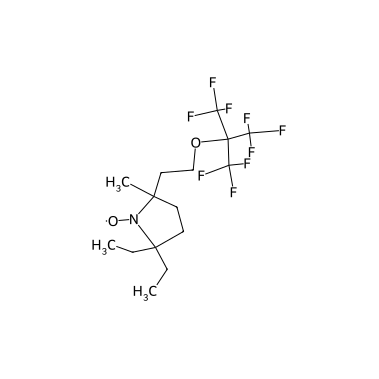 CCC1(CC)CCC(C)(CCOC(C(F)(F)F)(C(F)(F)F)C(F)(F)F)N1[O]